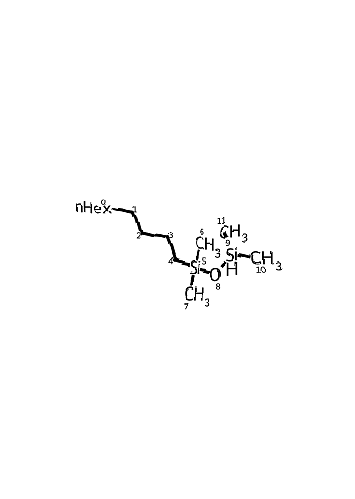 CCCCCCCCCC[Si](C)(C)O[SiH](C)C